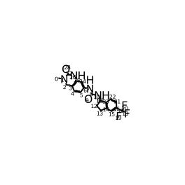 CN1Cc2ccc(NC(=O)N[C@@H]3CCc4cc(C(F)(F)F)ccc43)cc2NC1=O